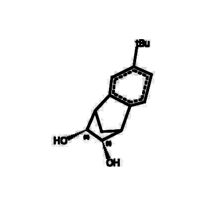 CC(C)(C)c1ccc2c(c1)C1CC2[C@H](O)[C@@H]1O